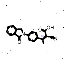 C/C(=C(\C#N)C(=O)O)c1ccc(N2Cc3ccccc3C2=O)cc1